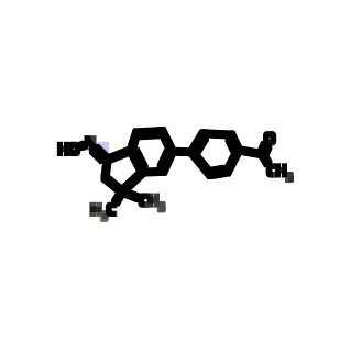 CC(=O)c1ccc(-c2ccc3c(c2)C(C)(C)C/C3=N\O)cc1